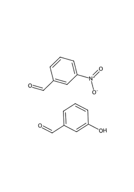 O=Cc1cccc(O)c1.O=Cc1cccc([N+](=O)[O-])c1